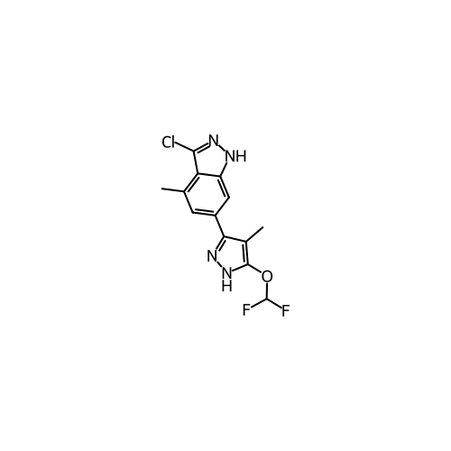 Cc1c(-c2cc(C)c3c(Cl)n[nH]c3c2)n[nH]c1OC(F)F